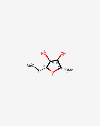 COC[C@H]1O[C@@H](OC)[C@H](O)[C@@H]1O